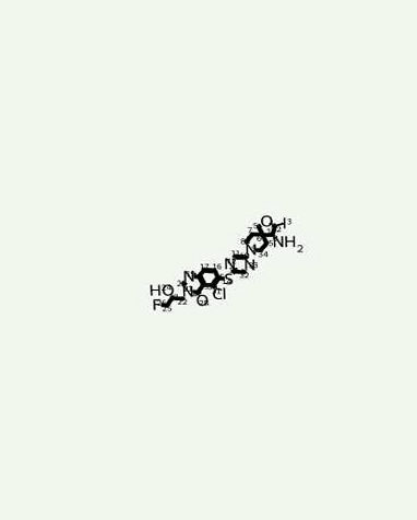 N[C@@H]1[C@H](I)OCC12CCN(c1cnc(Sc3ccc4ncn(CC(O)CF)c(=O)c4c3Cl)cn1)CC2